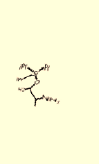 CC(N)C(O)O[Si](C(C)C)(C(C)C)C(C)C